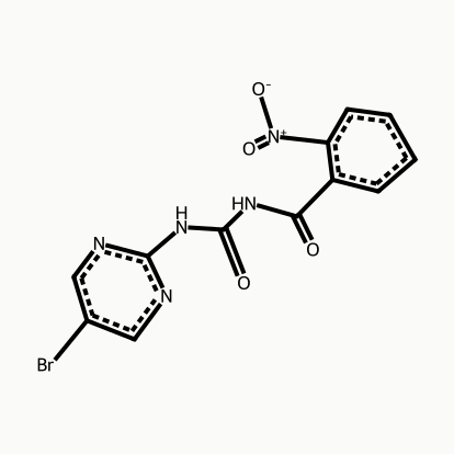 O=C(NC(=O)c1ccccc1[N+](=O)[O-])Nc1ncc(Br)cn1